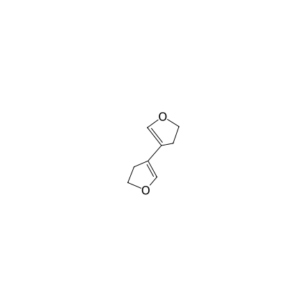 C1=C(C2=COCC2)CCO1